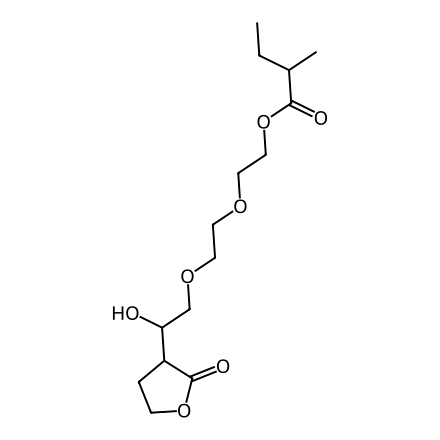 CCC(C)C(=O)OCCOCCOCC(O)C1CCOC1=O